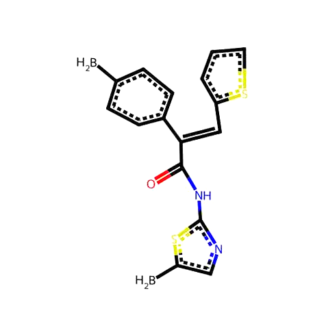 Bc1ccc(/C(=C\c2cccs2)C(=O)Nc2ncc(B)s2)cc1